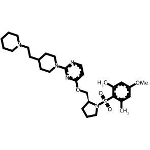 COc1cc(C)c(S(=O)(=O)N2CCC[C@H]2COc2ccnc(N3CCC(CCN4CCCCC4)CC3)n2)c(C)c1